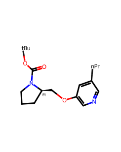 CCCc1cncc(OC[C@H]2CCCN2C(=O)OC(C)(C)C)c1